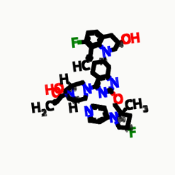 C#Cc1c(F)ccc2c1N([C@H]1CCc3c(nc(OC[C@]4(C)C[C@@H](F)CN4c4ccncc4)nc3N3C[C@H]4CC(O)[C@@H](C3)N4C(=O)C=C)C1)C[C@@H](O)C2